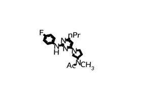 CCCc1cc(N2CCC(N(C)C(C)=O)C2)nc(Nc2ccc(F)cc2)n1